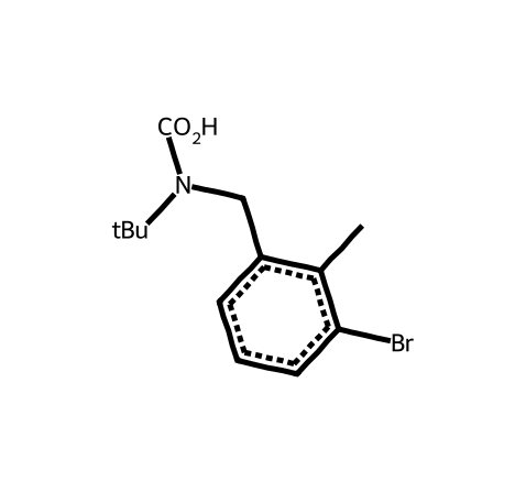 Cc1c(Br)cccc1CN(C(=O)O)C(C)(C)C